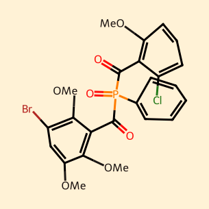 COc1cc(Br)c(OC)c(C(=O)P(=O)(C(=O)c2c(Cl)cccc2OC)c2ccccc2)c1OC